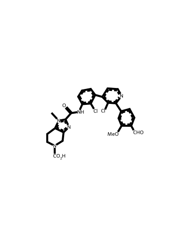 COc1cc(-c2nccc(-c3cccc(NC(=O)c4nc5c(n4C)CCN(C(=O)O)C5)c3Cl)c2Cl)ccc1C=O